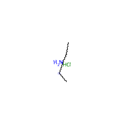 CCCCCCCC/C=C\CCCCCCCC(N)CCCCCCCCCCCCCCCC.Cl